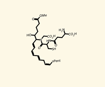 CCCCC/C=C\C/C=C/C=C\C=C\C(C(O)CCCC(=O)OC)N(CC(=O)O)C(=O)C(CS)NC(=O)CCC(N)C(=O)O